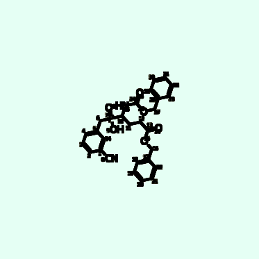 N#Cc1cccc(CP(=O)(O)C(CCC(=O)OCc2ccccc2)NC(=O)OCc2ccccc2)c1